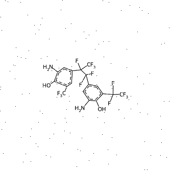 Nc1cc(C(F)(C(F)(F)F)C(F)(F)c2cc(N)c(O)c(C(F)(F)C(F)(F)F)c2)cc(C(F)(F)F)c1O